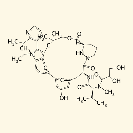 CCn1c(-c2cccnc2C(C)C)c2c3cc(ccc31)-c1cc(O)cc(c1)C[C@H](NC(=O)[C@H](C(C)C)N(C)C(=O)C(O)CO)C(=O)N1CCC[C@H](N1)C(=O)OCC(C)(C)C2